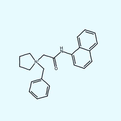 O=C(C[N+]1(Cc2ccccc2)CCCC1)Nc1cccc2ccccc12